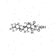 Cc1nc(C(=O)NCC(=O)O)c(O)c2c1=NC(Oc1cccc(C(C)(C)C)c1)CC=2